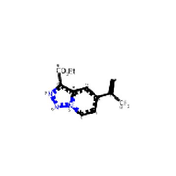 C=C(c1ccn2nnc(C(=O)OCC)c2c1)C(F)(F)F